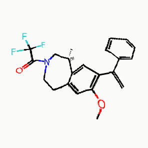 C=C(c1ccccc1)c1cc2c(cc1OC)CCN(C(=O)C(F)(F)F)C[C@@H]2C